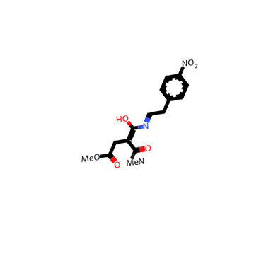 CNC(=O)/C(CC(=O)OC)=C(O)\N=C\Cc1ccc([N+](=O)[O-])cc1